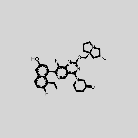 CCc1c(F)ccc2cc(O)cc(-c3ncc4c(N5CCCC(=O)C5)nc(OC[C@@]56CCCN5C[C@H](F)C6)nc4c3F)c12